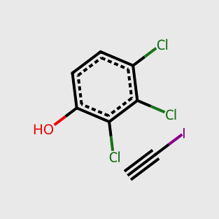 C#CI.Oc1ccc(Cl)c(Cl)c1Cl